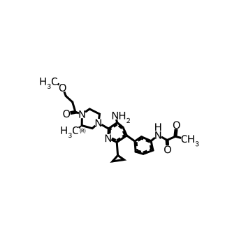 COCCC(=O)N1CCN(c2nc(C3CC3)c(-c3cccc(NC(=O)C(C)=O)c3)cc2N)C[C@H]1C